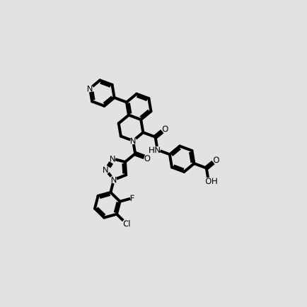 O=C(O)c1ccc(NC(=O)C2c3cccc(-c4ccncc4)c3CCN2C(=O)c2cn(-c3cccc(Cl)c3F)nn2)cc1